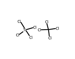 ClC(Cl)(Cl)Cl.[Cl][Ti]([Cl])([Cl])[Cl]